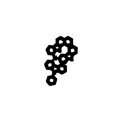 c1ccc(-n2c3ccccc3c3c(N(c4ccc5sc6ccccc6c5c4)c4cccc5c4sc4c6ccccc6ccc54)cccc32)cc1